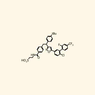 CC(C)(C)c1ccc(C(Cc2ccc(C(=O)NCCS(=O)(=O)O)cc2)c2cc(-c3ccc(Cl)c(-c4ccc(C(F)(F)F)cc4F)c3)on2)cc1